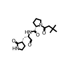 CC(C)(C)CC(=O)N1CCC[C@H]1C(=O)N[C@H](C=O)C[C@@H]1CCNC1=O